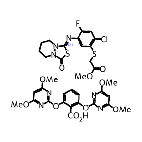 COC(=O)CSc1cc(/N=c2\sc(=O)n3n2CCCC3)c(F)cc1Cl.COc1cc(OC)nc(Oc2cccc(Oc3nc(OC)cc(OC)n3)c2C(=O)O)n1